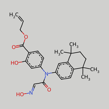 C=CCOC(=O)c1ccc(N(C(=O)C=NO)c2ccc3c(c2)C(C)(C)CCC3(C)C)cc1O